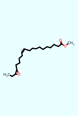 CCC1OC1CCCC/C=C\CCCCCCCCCC(=O)OC